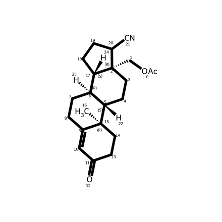 CC(=O)OC[C@]12CC[C@H]3[C@@H](CCC4=CC(=O)CC[C@@]43C)[C@@H]1CCC2C#N